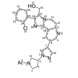 CC(=O)N1CCC(n2cc(-c3cnc4ccn5c(CO)c(-c6ccccc6Cl)nc5c4c3)cn2)C1